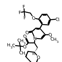 COc1cn(C(C[C@H]2CCCCO2)C(=O)OC(C)(C)C)c(=O)cc1-c1cc(Cl)ccc1OCC(F)(F)F